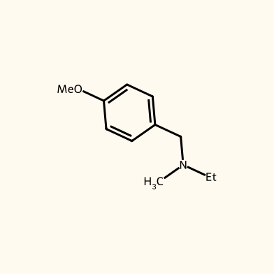 CCN(C)Cc1ccc(OC)cc1